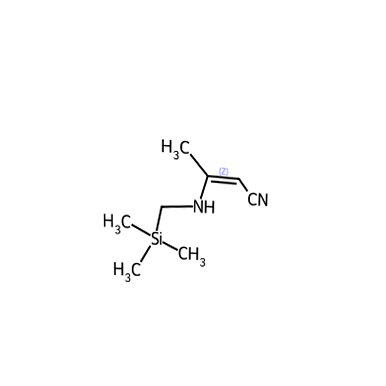 C/C(=C/C#N)NC[Si](C)(C)C